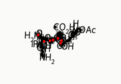 CC(=O)O.CC(=O)O[C@@H](C)/C=C\C(=O)N[C@@H]1C[C@H](C)[C@H](C/C=C(C)/C=C/[C@H]2O[C@H](CC(=O)N3CCCCN3C(=O)OCc3ccc(NC(=O)[C@H](CCCNC(N)=O)NC(=O)[C@@H](NC(=O)CCCCCN)C(C)C)cc3)C[C@@]3(CO3)[C@@H]2O)O[C@@H]1C